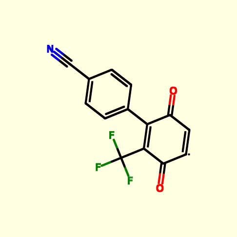 N#Cc1ccc(C2=C(C(F)(F)F)C(=O)[C]=CC2=O)cc1